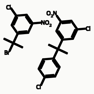 CC(C)(Br)c1cc(Cl)cc([N+](=O)[O-])c1.CC(C)(c1ccc(Cl)cc1)c1cc(Cl)cc([N+](=O)[O-])c1